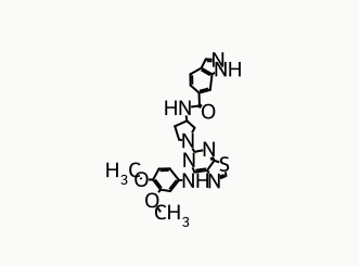 COc1ccc(Nc2nc(N3CCC(NC(=O)c4ccc5cn[nH]c5c4)C3)nc3scnc23)cc1OC